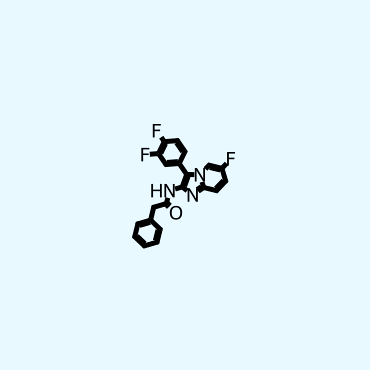 O=C(Cc1ccccc1)Nc1nc2ccc(F)cn2c1-c1ccc(F)c(F)c1